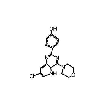 Oc1ccc(C2=NC3=CC(Cl)=CNC3C(N3CCOCC3)=N2)cc1